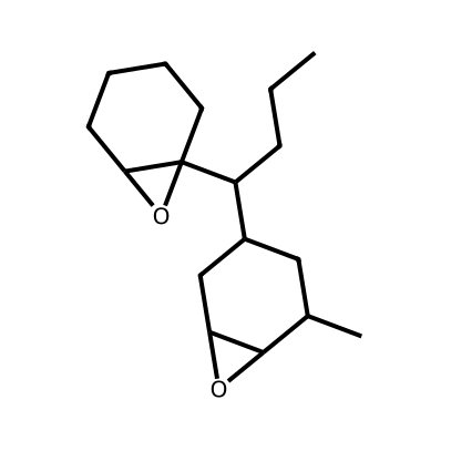 CCCC(C1CC(C)C2OC2C1)C12CCCCC1O2